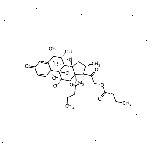 CCCC(=O)OCC(=O)[C@]1(OC(=O)CCC)[C@H](C)C[C@H]2[C@@H]3[C@@H](O)[C@@H](O)C4=CC(=O)C=C[C@]4(C)[C@@]3(Cl)[C@@H](Cl)C[C@@]21C